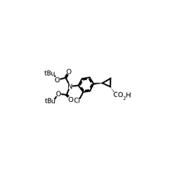 CC(C)(C)OC(=O)N(C(=O)OC(C)(C)C)c1ccc([C@H]2C[C@@H]2C(=O)O)cc1Cl